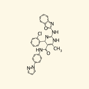 CC1=C(C(=O)Nc2ccc(-n3cccn3)cc2)C(c2ccccc2Cl)N=C(Nc2nc3ccccc3o2)N1